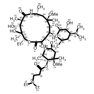 CC[C@H]1OC(=O)[C@H](C)[C@@H](O[C@H]2C[C@@](C)(OC)[C@@H](OC(=O)CCN(CC)CC)[C@H](C)O2)[C@H](C)[C@@H](O[C@@H]2O[C@H](C)C[C@H](N(C)C)[C@H]2O)[C@](C)(OC)C[C@@H](C)NC(=O)[C@H](C)[C@@H](O)[C@]1(C)O